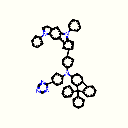 c1ccc(-n2ccc3cc4c(cc32)c2cc(-c3ccc(N(c5ccc(-c6ncncn6)cc5)c5ccc6c(c5)C(c5ccccc5)(c5ccccc5)c5ccccc5-6)cc3)ccc2n4-c2ccccc2)cc1